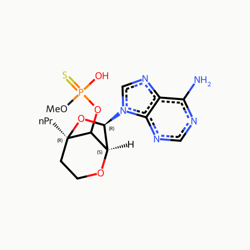 CCC[C@@]12CCO[C@@H](C1OP(O)(=S)OC)[C@H](n1cnc3c(N)ncnc31)O2